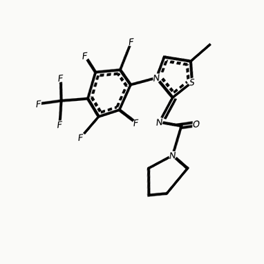 Cc1cn(-c2c(F)c(F)c(C(F)(F)F)c(F)c2F)c(=NC(=O)N2CCCC2)s1